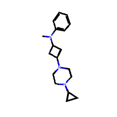 CN(c1ccccc1)C1CC(N2CCN(C3CC3)CC2)C1